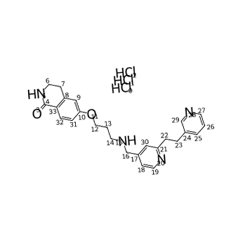 Cl.Cl.Cl.O=C1NCCc2cc(OCCCNCc3ccnc(CCc4cccnc4)c3)ccc21